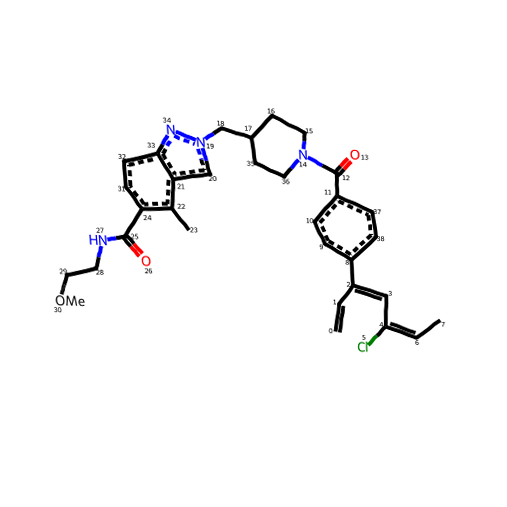 C=C/C(=C\C(Cl)=C/C)c1ccc(C(=O)N2CCC(Cn3cc4c(C)c(C(=O)NCCOC)ccc4n3)CC2)cc1